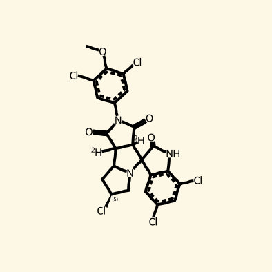 [2H]C12C(=O)N(c3cc(Cl)c(OC)c(Cl)c3)C(=O)C1([2H])C1(C(=O)Nc3c(Cl)cc(Cl)cc31)N1C[C@@H](Cl)CC12